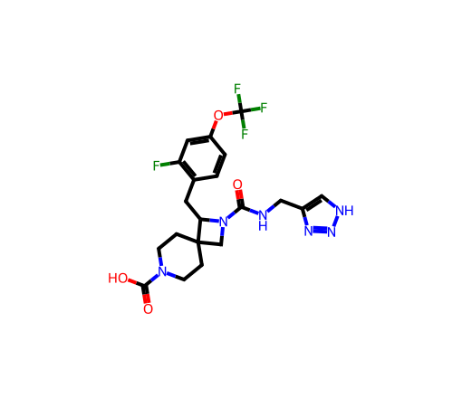 O=C(O)N1CCC2(CC1)CN(C(=O)NCc1c[nH]nn1)C2Cc1ccc(OC(F)(F)F)cc1F